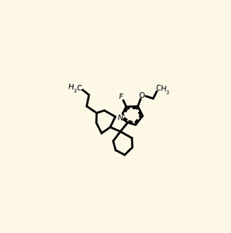 CCCC1CCC(C2(c3ccc(OCC)c(F)n3)CCCCC2)CC1